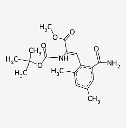 COC(=O)C(=Cc1c(C)cc(C)cc1C(N)=O)NC(=O)OC(C)(C)C